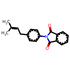 CC(C)=CCc1ccc(N2C(=O)c3ccccc3C2=O)cc1